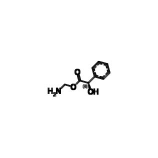 NCOC(=O)[C@H](O)c1ccccc1